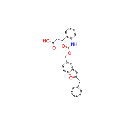 O=C(O)CCc1ccccc1NC(=O)OCc1ccc2oc(Cc3ccccc3)cc2c1